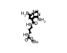 Bc1cc(C(=O)NCCCNC(=O)OC(C)(C)C)c2c(N)ncnn12